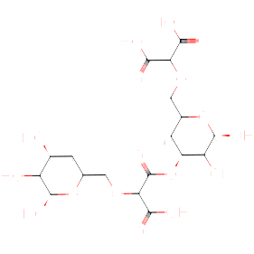 C[C@@H]1C(COC(C(=O)O)C(=O)O[C@@H]2C(O)[C@H](O)OC(COC(C(=O)O)C(=O)O)[C@H]2C)O[C@@H](O)C(O)[C@H]1O